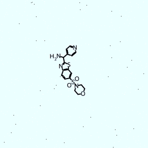 NC(c1ccncc1)c1nc2ccc(S(=O)(=O)N3CCOCC3)cc2s1